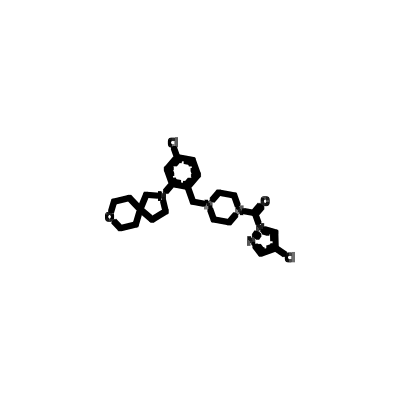 O=C(N1CCN(Cc2ccc(Cl)cc2N2CCC3(CCOCC3)C2)CC1)n1cc(Cl)cn1